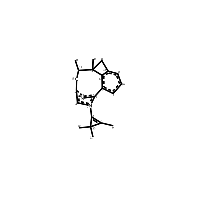 CC1=C(n2cc3nc2-c2cccc4c2C(C)(C4)C(C)C3)C1(C)C